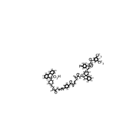 CN(CCN1CCC(N(C(=O)O)c2ccccc2-c2ccccc2)CC1)C(=O)CCCNc1ccc(C(=O)N(C)CCCN(C)C(=O)CO[C@H]2Cc3ccccc3C23CCN(CC[C@@]2(c4ccc(F)cc4)CN(C(=O)c4cc(C(F)(F)F)cc(C(F)(F)F)c4)CO2)CC3)cc1